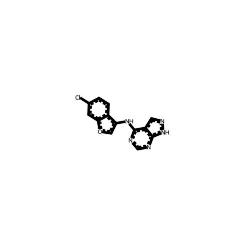 Clc1ccc2c(Nc3ncnc4[nH]ncc34)coc2c1